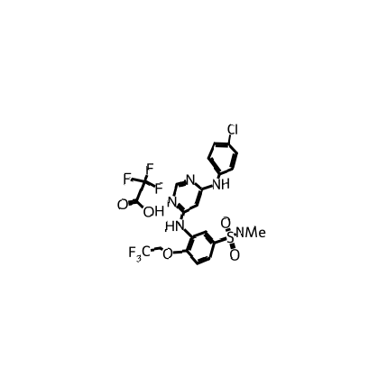 CNS(=O)(=O)c1ccc(OCC(F)(F)F)c(Nc2cc(Nc3ccc(Cl)cc3)ncn2)c1.O=C(O)C(F)(F)F